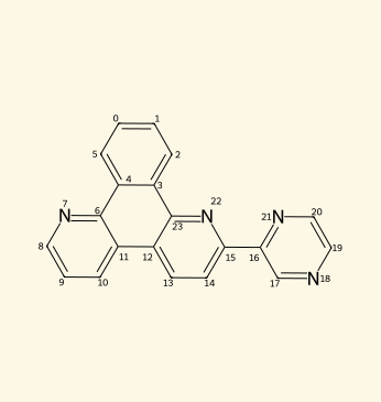 c1ccc2c(c1)c1ncccc1c1ccc(-c3cnccn3)nc21